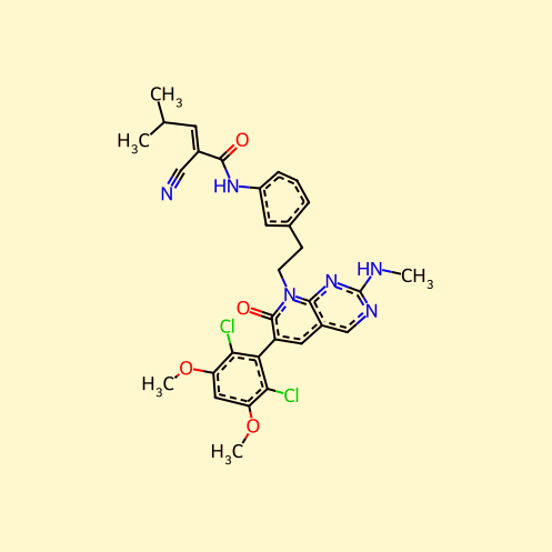 CNc1ncc2cc(-c3c(Cl)c(OC)cc(OC)c3Cl)c(=O)n(CCc3cccc(NC(=O)C(C#N)=CC(C)C)c3)c2n1